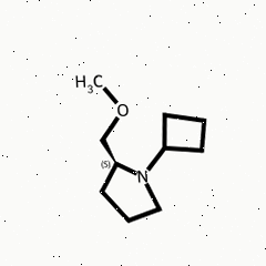 COC[C@@H]1CCCN1C1CCC1